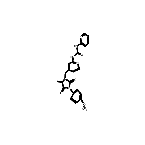 CC1C(=O)N(c2ccc(OC(F)(F)F)cc2)C(=O)N1Cc1ccnc(NC(=O)Nc2ccccn2)c1